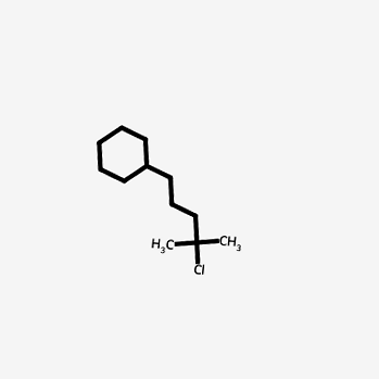 CC(C)(Cl)CCCC1CCCCC1